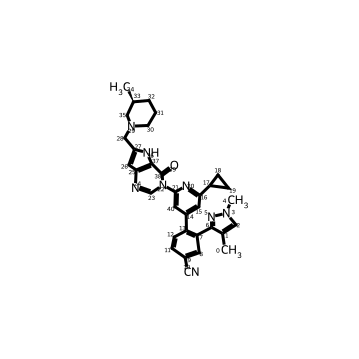 Cc1cn(C)nc1-c1cc(C#N)ccc1-c1cc(C2CC2)nc(-n2cnc3cc(CN4CCC[C@H](C)C4)[nH]c3c2=O)c1